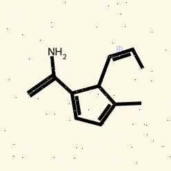 C=C(N)C1=CC=C(C)C1/C=C\C